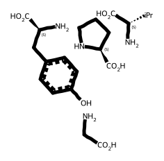 CC(C)[C@H](N)C(=O)O.NCC(=O)O.N[C@@H](Cc1ccc(O)cc1)C(=O)O.O=C(O)[C@@H]1CCCN1